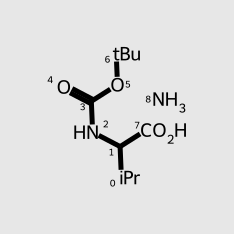 CC(C)C(NC(=O)OC(C)(C)C)C(=O)O.N